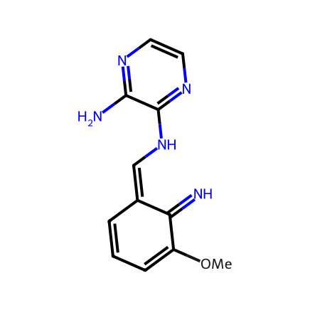 COC1=CC=C/C(=C/Nc2nccnc2N)C1=N